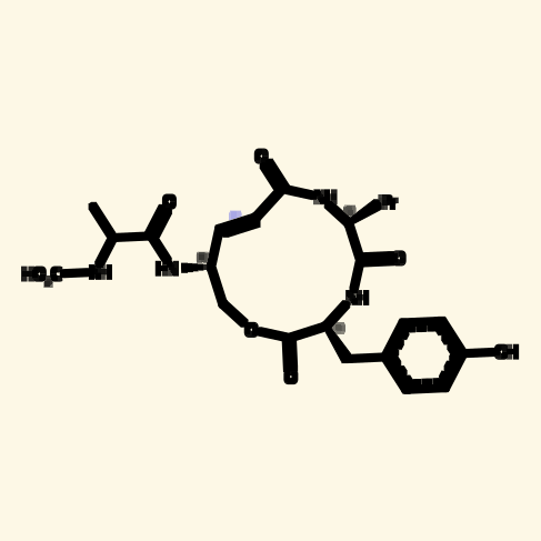 CC(NC(=O)O)C(=O)N[C@@H]1/C=C/C(=O)N[C@@H](C(C)C)C(=O)N[C@@H](Cc2ccc(O)cc2)C(=O)OC1